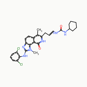 Cc1c(C/C=C/NC(=O)NC2CCCCC2)[nH]c(=O)c2c1ccc1nc(Nc3c(Cl)cccc3Cl)n(C)c12